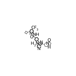 N[N+]12C=CN=CC1=C([C@@H]1CC[C@H]3CCC(=O)N3C1)N=C2c1ccc(C(=O)Nc2cc(C(F)(F)F)cc(C3CCC3)n2)cc1